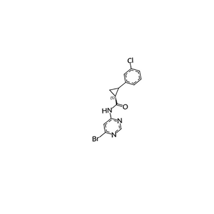 O=C(Nc1cc(Br)ncn1)[C@H]1CC1c1cccc(Cl)c1